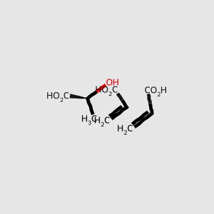 C=CC(=O)O.C=CC(=O)O.C[C@H](O)C(=O)O